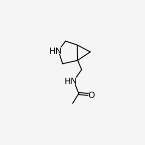 CC(=O)NCC12CNCC1C2